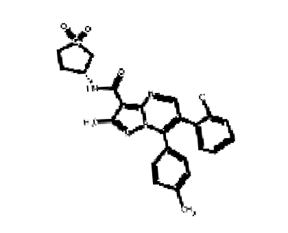 Cc1ccc(-c2c(-c3ccccc3Cl)cnc3c(C(=O)N[C@@H]4CCS(=O)(=O)C4)c(C)nn23)cc1